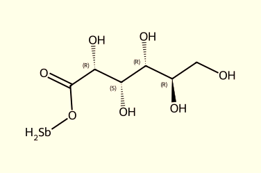 O=C([O][SbH2])[C@H](O)[C@@H](O)[C@H](O)[C@H](O)CO